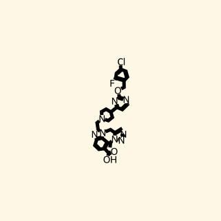 CCn1nncc1Cn1c(CN2CCC(c3ccnc(OCc4ccc(Cl)cc4F)n3)CC2)nc2ccc(C(=O)O)cc21